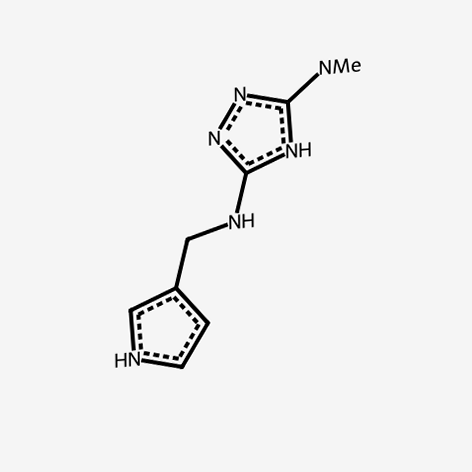 CNc1nnc(NCc2cc[nH]c2)[nH]1